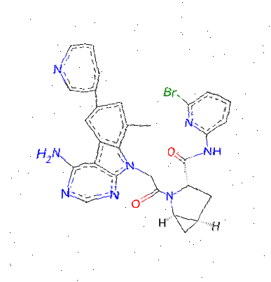 Cc1cc(-c2cccnc2)cc2c3c(N)ncnc3n(CC(=O)N3[C@@H]4C[C@@H]4C[C@H]3C(=O)Nc3cccc(Br)n3)c12